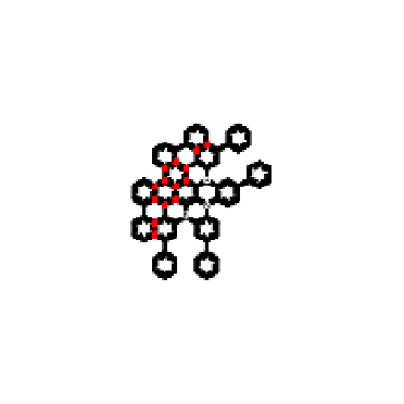 c1ccc(-c2ccc3c(c2)B2c4cc(-c5ccccc5)ccc4N4c5ccc(-c6ccccc6)cc5B5c6cc(-c7ccccc7)ccc6N(c6c(-c7ccccc7)cccc6-c6ccccc6)c6cc(c2c4c65)N3c2c(-c3ccccc3)cccc2-c2ccccc2)cc1